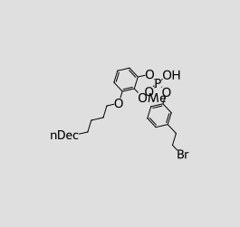 CCCCCCCCCCCCCCOc1cccc(OP(=O)(O)Oc2cccc(CCBr)c2)c1OC